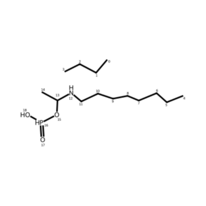 CCCC.CCCCCCCCNC(C)O[PH](=O)O